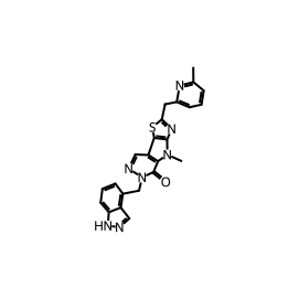 Cc1cccc(Cc2nc3c(s2)c2cnn(Cc4cccc5[nH]ncc45)c(=O)c2n3C)n1